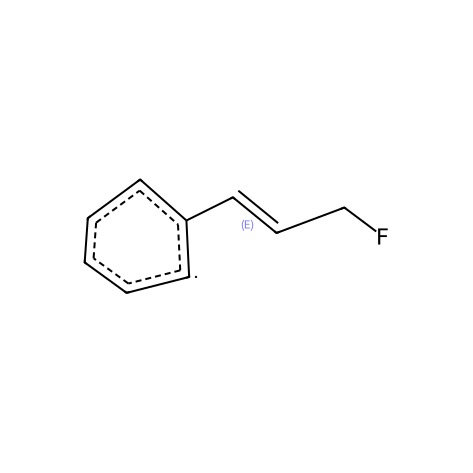 FC/C=C/c1[c]cccc1